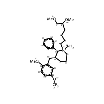 COCC(CCCC[N+]1(N)CCC[C@@H](Cc2cc(OC(F)(F)F)ccc2OC)[C@H]1c1ccccc1)OC